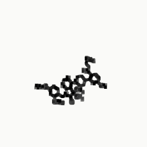 COc1ccc(CN2C(=O)C(C)(C)c3c(N4CCC(c5nc(C#N)ccc5NCCOC(C)=O)CC4)ncnc32)c(OC)c1